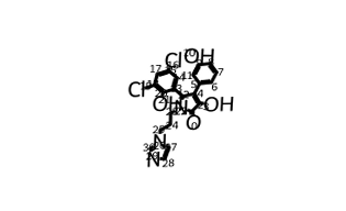 O=C1C(O)=C(c2cccc(O)c2)C(c2cc(Cl)cc(Cl)c2O)N1CCCn1ccnc1